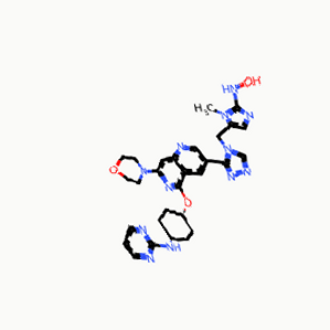 Cn1c(Cn2cnnc2-c2cnc3cc(N4CCOCC4)nc(O[C@H]4CC[C@@H](Nc5ncccn5)CC4)c3c2)cnc1NO